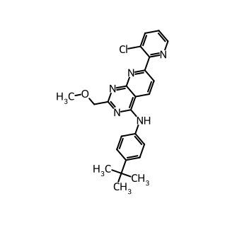 COCc1nc(Nc2ccc(C(C)(C)C)cc2)c2ccc(-c3ncccc3Cl)nc2n1